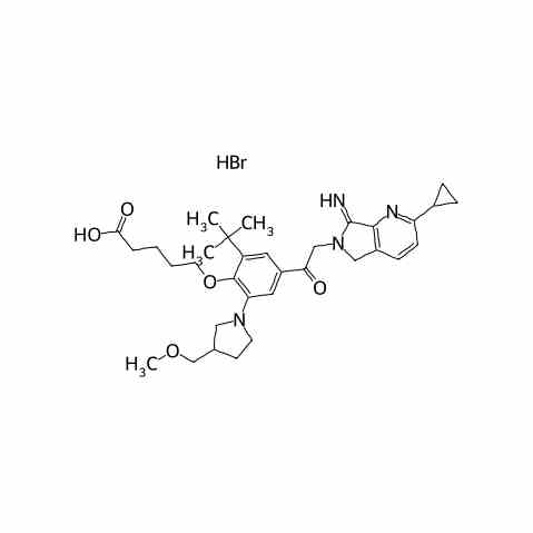 Br.COCC1CCN(c2cc(C(=O)CN3Cc4ccc(C5CC5)nc4C3=N)cc(C(C)(C)C)c2OCCCCC(=O)O)C1